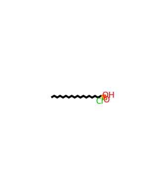 CCCCCCCCCCCCCCCCCCP(=O)(O)Cl